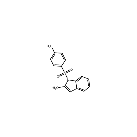 [CH2]c1cc2ccccc2n1S(=O)(=O)c1ccc(C)cc1